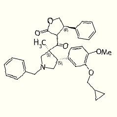 COc1ccc([C@@H]2CN(Cc3ccccc3)C[C@@]2(C)C(=O)C2C(=O)OC[C@H]2c2ccccc2)cc1OCC1CC1